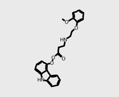 COc1ccccc1OCCNCCC(=O)OOc1cccc2[nH]c3ccccc3c12